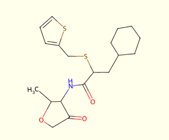 CC1OCC(=O)C1NC(=O)C(CC1CCCCC1)SCc1cccs1